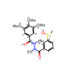 CCN(C(=O)c1cccc([S+](C)[O-])c1)N(C(=O)c1cc(OC)c(OC)c(OC)c1)C(C)(C)C